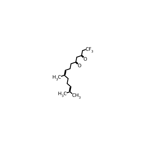 CC(C)=CCC/C(C)=C\CCC(=O)CC(=O)CC(F)(F)F